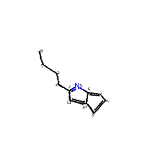 CCCCC1=NC2=CC=CC2=C1